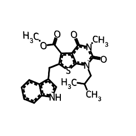 COC(=O)c1c(Cc2c[nH]c3ccccc23)sc2c1c(=O)n(C)c(=O)n2CC(C)C